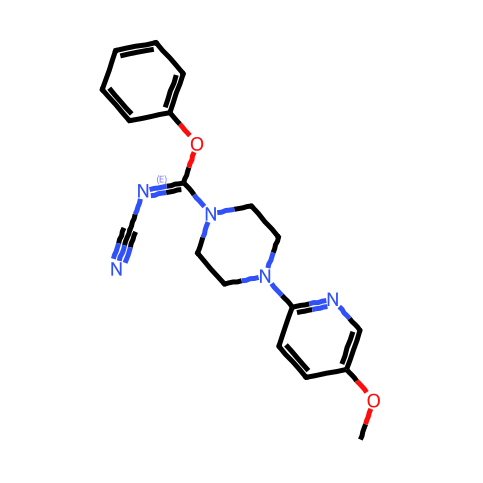 COc1ccc(N2CCN(/C(=N\C#N)Oc3ccccc3)CC2)nc1